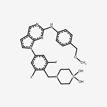 COCc1ccc(Nc2ncc3ccn(-c4cc(F)c(CN5CCS(O)(O)CC5)c(F)c4)c3n2)cc1